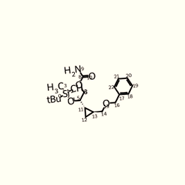 CC(C)(C)[Si](C)(C)OC(COC(N)=O)[C@H]1C[C@@H]1COCc1ccccc1